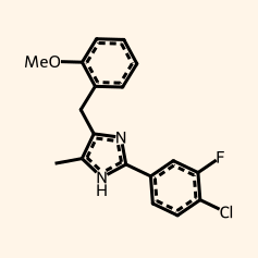 COc1ccccc1Cc1nc(-c2ccc(Cl)c(F)c2)[nH]c1C